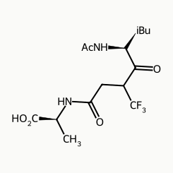 CC[C@H](C)[C@H](NC(C)=O)C(=O)C(CC(=O)N[C@@H](C)C(=O)O)C(F)(F)F